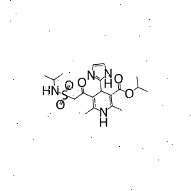 CC1=C(C(=O)CS(=O)(=O)NC(C)C)C(c2ncc[nH]2)C(C(=O)OC(C)C)=C(C)N1